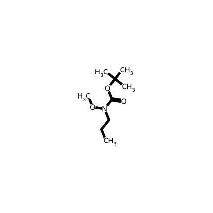 CCCN(OC)C(=O)OC(C)(C)C